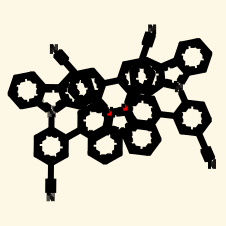 N#Cc1ccc(-n2c3ccccc3c3ccccc32)c(-c2ccc3c(c2)c2ccccc2n3-c2ccc(C#N)cc2-c2cc(C#N)ccc2-n2c3ccccc3c3cc(-c4cc(C#N)ccc4-n4c5ccccc5c5ccccc54)ccc32)c1